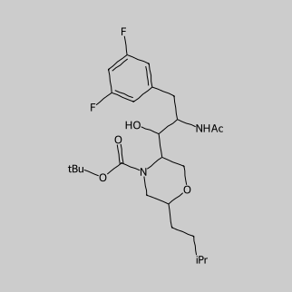 CC(=O)NC(Cc1cc(F)cc(F)c1)C(O)C1COC(CCC(C)C)CN1C(=O)OC(C)(C)C